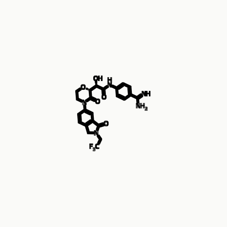 N=C(N)c1ccc(NC(=O)[C@H](O)[C@H]2OCCN(c3ccc4c(c3)C(=O)N(CC(F)(F)F)C4)C2=O)cc1